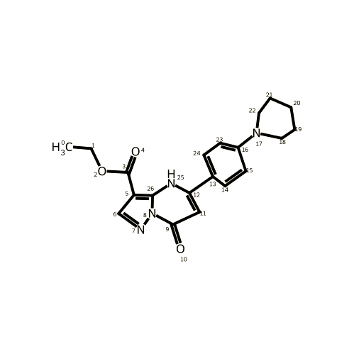 CCOC(=O)c1cnn2c(=O)cc(-c3ccc(N4CCCCC4)cc3)[nH]c12